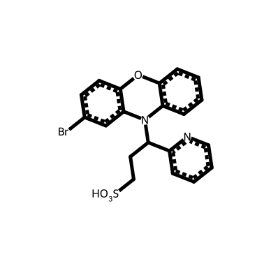 O=S(=O)(O)CCC(c1ccccn1)N1c2ccccc2Oc2ccc(Br)cc21